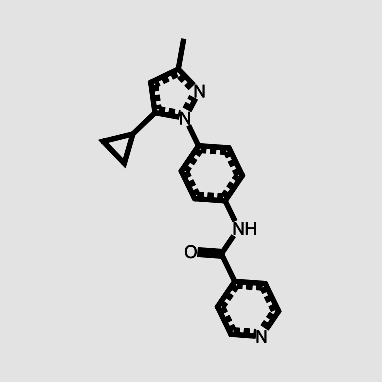 Cc1cc(C2CC2)n(-c2ccc(NC(=O)c3ccncc3)cc2)n1